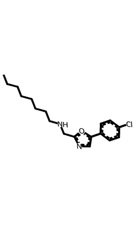 CCCCCCCCNCc1ncc(-c2ccc(Cl)cc2)o1